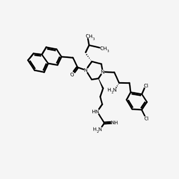 CC(C)C[C@@H]1CN(C[C@@H](N)Cc2ccc(Cl)cc2Cl)[C@@H](CCCNC(=N)N)CN1C(=O)Cc1ccc2ccccc2c1